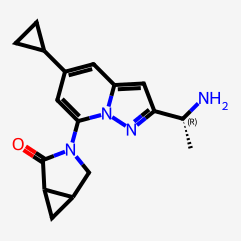 C[C@@H](N)c1cc2cc(C3CC3)cc(N3CC4CC4C3=O)n2n1